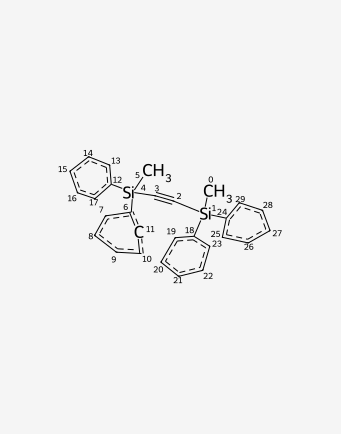 C[Si](C#C[Si](C)(c1ccccc1)c1ccccc1)(c1ccccc1)c1ccccc1